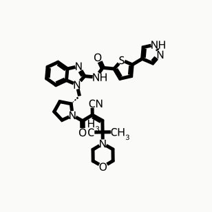 CC(C)(/C=C(/C#N)C(=O)N1CCC[C@@H]1Cn1c(NC(=O)c2ccc(-c3cn[nH]c3)s2)nc2ccccc21)N1CCOCC1